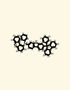 c1ccc(N(c2ccc3c(c2)sc2cc(C4(c5ccccc5)c5ccccc5-c5ccccc54)ccc23)c2cccc3sc4ccccc4c23)cc1